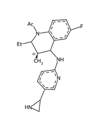 CCC1[C@H](C)C(Nc2ccc(C3CN3)cn2)c2cc(F)ccc2N1C(C)=O